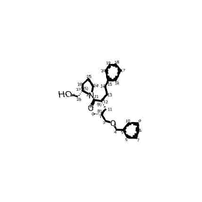 C[C@@H](COCc1ccccc1)C[C@@H](CCc1ccccc1)C(=O)N1CCC[C@H]1CO